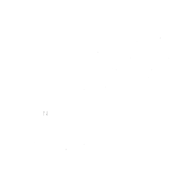 CCCC1N=C(OC)CCCC1c1ccc(C2OCCO2)s1